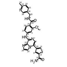 COc1cc(Nc2ncc(-c3csc(C(N)=O)c3)n3ccnc23)ccc1C(=O)NCc1ccc(C)nc1